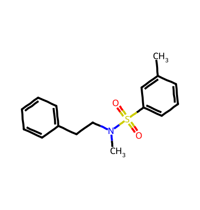 Cc1cccc(S(=O)(=O)N(C)CCc2ccccc2)c1